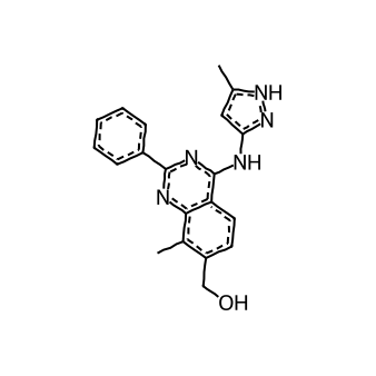 Cc1cc(Nc2nc(-c3ccccc3)nc3c(C)c(CO)ccc23)n[nH]1